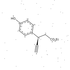 C#C[C@H](CC(=O)OCC)c1ccc(O)cc1